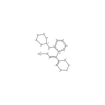 CON=C(C1=NOCCO1)c1ccccc1OC1CCCCO1